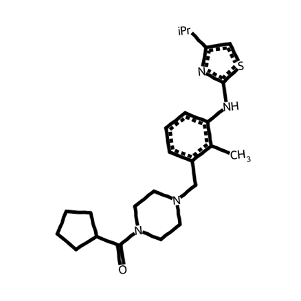 Cc1c(CN2CCN(C(=O)C3CCCC3)CC2)cccc1Nc1nc(C(C)C)cs1